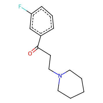 O=C(CCN1CCCCC1)c1cccc(F)c1